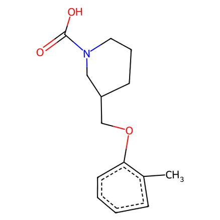 Cc1ccccc1OCC1CCCN(C(=O)O)C1